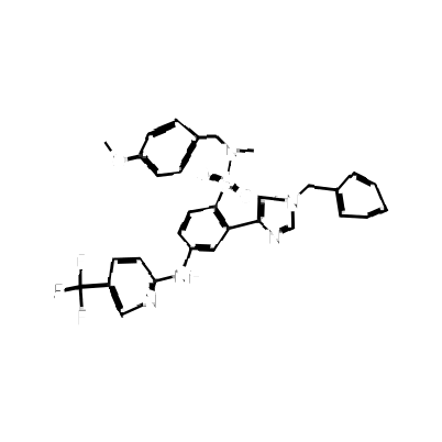 COc1ccc(CN(C)S(=O)(=O)c2ccc(Nc3ccc(C(F)(F)F)cn3)cc2-c2cn(Cc3ccccc3)cn2)cc1